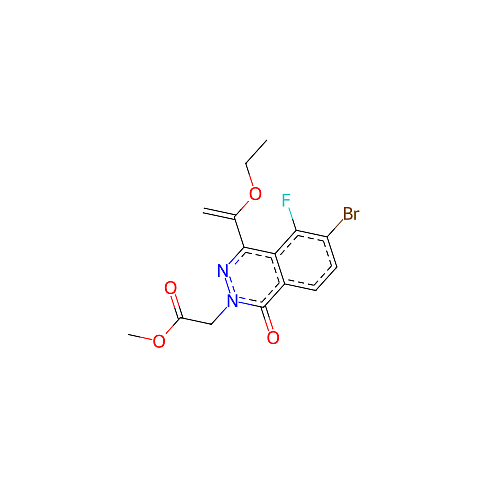 C=C(OCC)c1nn(CC(=O)OC)c(=O)c2ccc(Br)c(F)c12